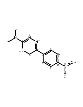 CN(C)C1=NN=C(c2ccc([N+](=O)[O-])cc2)CS1